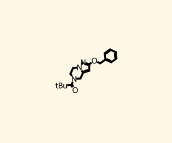 CC(C)(C)C(=O)N1CCn2nc(OCc3ccccc3)cc2C1